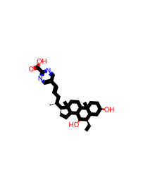 CC[C@@H]1C2C[C@H](O)CCC2(C)C2CCC3(C)C(CC[C@@H]3[C@H](C)C/C=C/c3cnc(C(=O)O)nc3)C2[C@@H]1O